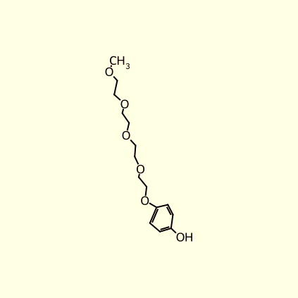 COCCOCCOCCOCCOc1ccc(O)cc1